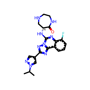 CC(C)n1cc(-c2nc3c4cccc(F)c4nc(N[C@@H]4CNCCNC4=O)n3n2)cn1